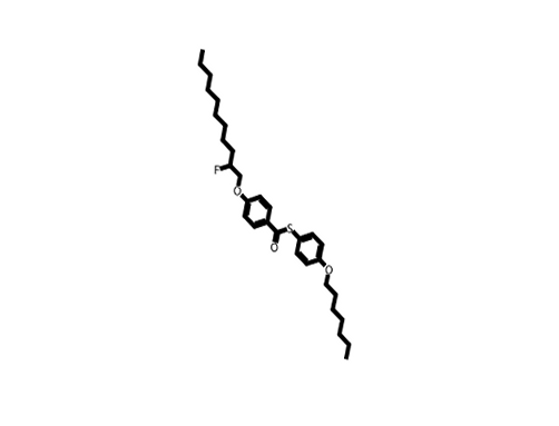 CCCCCCCCCC(F)COc1ccc(C(=O)Sc2ccc(OCCCCCCC)cc2)cc1